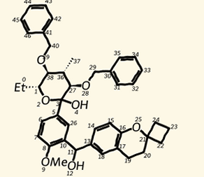 CC[C@H]1OC(O)(c2ccc(OC)c(C(O)c3ccc4c(c3)CCC3(CCC3)O4)c2)[C@H](OCc2ccccc2)[C@@H](C)[C@@H]1OCc1ccccc1